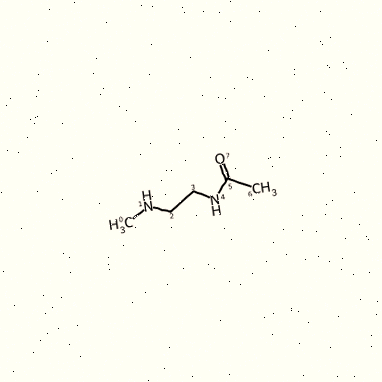 CNCCNC(C)=O